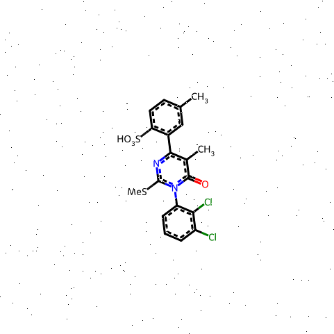 CSc1nc(-c2cc(C)ccc2S(=O)(=O)O)c(C)c(=O)n1-c1cccc(Cl)c1Cl